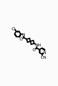 N#Cc1cc(C(=O)NC2CC3(C2)CC(c2nc4cc(Cl)ccc4o2)C3)ccn1